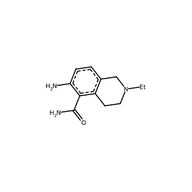 CCN1CCc2c(ccc(N)c2C(N)=O)C1